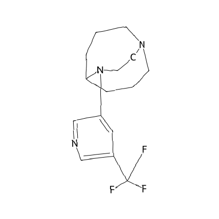 FC(F)(F)c1cncc(N2CCN3CCCC2CCC3)c1